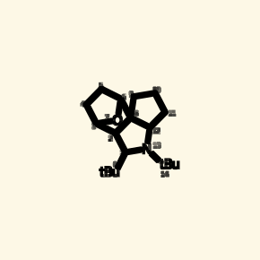 CC(C)(C)C1C2C3CCC(O3)C23CCCC3N1C(C)(C)C